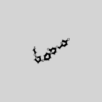 O=c1cc(OCc2ccc(Cl)cn2)ccn1-c1ccc(O[C@@H]2CCN(OCCF)C2)cc1